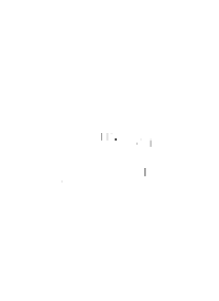 CC(NCC[C@@]1(c2ccc(F)cc2)CCOC2(CCCC2)C1)c1ccccc1